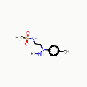 CCNN(CCNS(C)(=O)=O)c1ccc(C)cc1